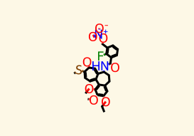 CCOc1cc2c(c(OC)c1OC)-c1ccc(SC)c(=O)cc1C(NC(=O)c1cccc(CO[N+](=O)[O-])c1F)CC2